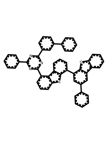 c1ccc(-c2cccc(-c3nc(-c4ccccc4)nc(-c4cccc5sc6c(-c7cc(-c8ccccc8)cc8c7oc7ccccc78)cccc6c45)n3)c2)cc1